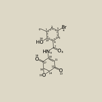 Cc1cc(Br)cc(C(=O)NC2=CC(=O)C3OC3C2=O)c1O